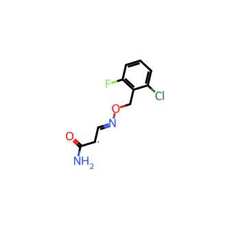 NC(=O)[CH]C=NOCc1c(F)cccc1Cl